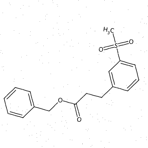 CS(=O)(=O)c1cccc(CCC(=O)OCc2ccccc2)c1